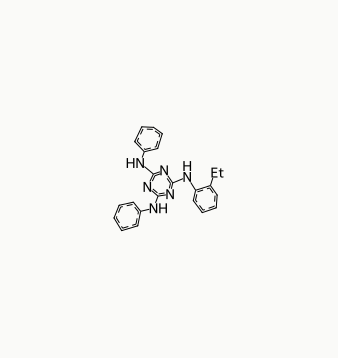 CCc1ccccc1Nc1nc(Nc2ccccc2)nc(Nc2ccccc2)n1